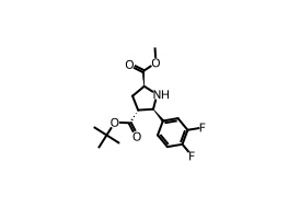 COC(=O)[C@@H]1C[C@@H](C(=O)OC(C)(C)C)[C@H](c2ccc(F)c(F)c2)N1